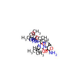 COC[C@@H](NC(=O)N[C@H](C(=O)N1C[C@H]2[C@@H]([C@H]1C(=O)NC(C(=O)C(N)=O)C1CC1)C2(C)C)C(C)(C)C)C(C)(C)C